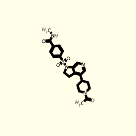 CNC(=O)c1ccc(S(=O)(=O)N2CCc3c(C4CCN(C(C)=O)CC4)cncc32)cc1